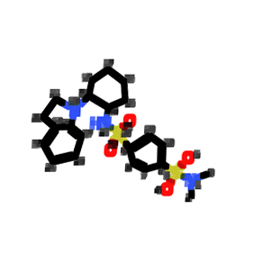 CN(C)S(=O)(=O)c1ccc(S(=O)(=O)NC2CCCCC2N2CCc3ccccc32)cc1